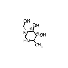 CC1NC[C@H](CO)[C@@H](O)[C@@H]1O